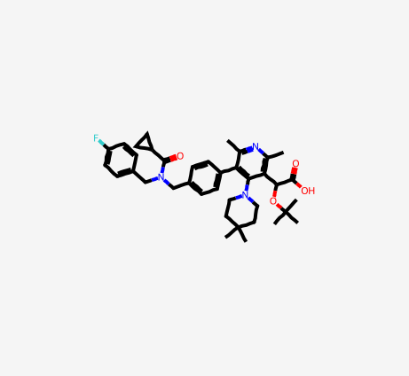 Cc1nc(C)c(C(OC(C)(C)C)C(=O)O)c(N2CCC(C)(C)CC2)c1-c1ccc(CN(Cc2ccc(F)cc2)C(=O)C2CC2)cc1